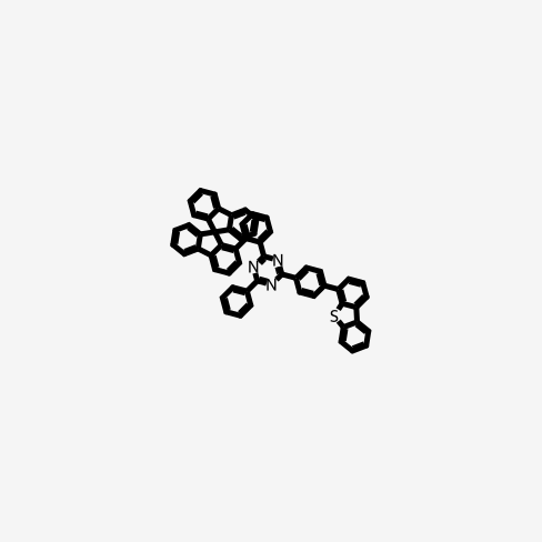 c1ccc(-c2nc(-c3ccc(-c4cccc5c4sc4ccccc45)cc3)nc(-c3ccccc3-c3cccc4c3C3(c5ccccc5-c5ccccc53)c3ccccc3-4)n2)cc1